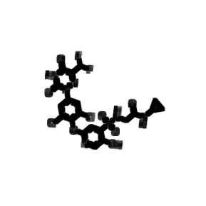 O=C(CNS(=O)(=O)c1cc(Oc2c(Cl)cc(-n3nc(C(F)F)c(=O)[nH]c3=O)cc2Cl)ncc1O)NC1CC1